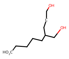 O=C(O)CCCCC(CO)CCCO